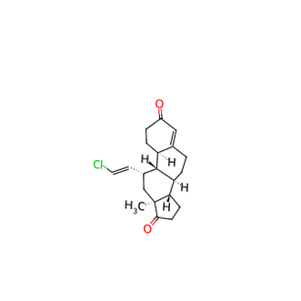 C[C@]12C[C@H](/C=C/Cl)[C@H]3[C@@H](CCC4=CC(=O)CC[C@@H]43)[C@@H]1CCC2=O